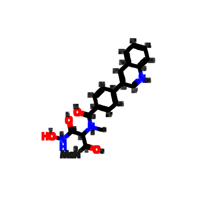 CNC(=O)C(C(=O)NO)N(C)C(=O)c1ccc(-c2cnc3ccccc3c2)cc1